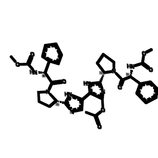 COC(=O)N[C@@H](C(=O)N1CCC[C@H]1c1ncc(-c2[nH]c([C@@H]3CCCN3C(=O)[C@H](NC(=O)OC)c3ccccc3)nc2OC(C)=O)[nH]1)c1ccccc1